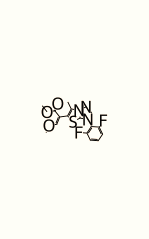 COC=C(C(=O)OC)C1=C(C)N2N=CN(c3c(F)cccc3F)C2S1